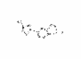 Cc1nnc(-c2ccc3cc(Br)ccc3c2)o1